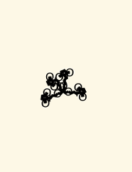 O=C1C=CC(=O)N1CCCOCC(COCCCN1C(=O)C=CC1=O)(COCCCN1C(=O)C=CC1=O)COCCCN1C(=O)C=CC1=O